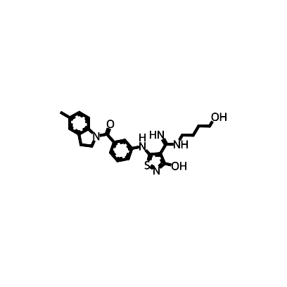 Cc1ccc2c(c1)CCN2C(=O)c1cccc(Nc2snc(O)c2C(=N)NCCCCO)c1